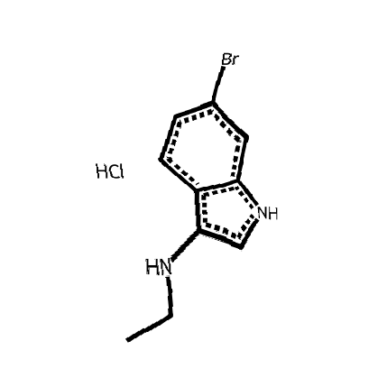 CCNc1c[nH]c2cc(Br)ccc12.Cl